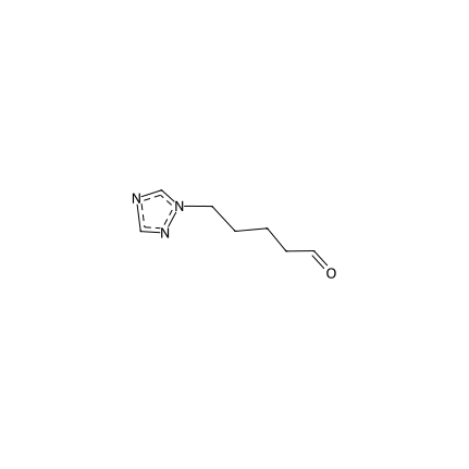 O=CCCCCn1cncn1